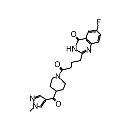 Cn1cc(C(=O)C2CCN(C(=O)CCCc3nc4ccc(F)cc4c(=O)[nH]3)CC2)cn1